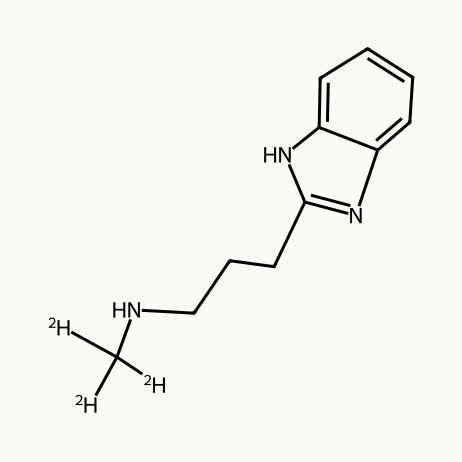 [2H]C([2H])([2H])NCCCc1nc2ccccc2[nH]1